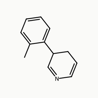 Cc1ccccc1C1C=NC=CC1